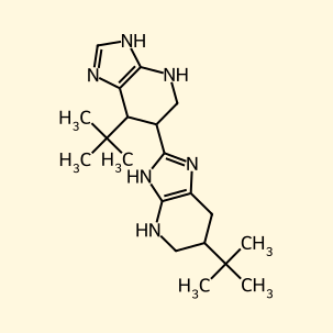 CC(C)(C)C1CNc2[nH]c(C3CNc4[nH]cnc4C3C(C)(C)C)nc2C1